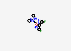 Fc1ccc2[nH]c3c(OCCCN/C(=N\C4CCCCC4)NC4CCCCC4)c4[nH]c5ccc(F)cc5c4cc3c2c1